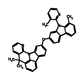 Cc1cccnc1-n1c2cc(Oc3ccc4c5cccc6c5n(c4c3)-c3ncccc3C6(C)C)ccc2c2cccc(C)c21